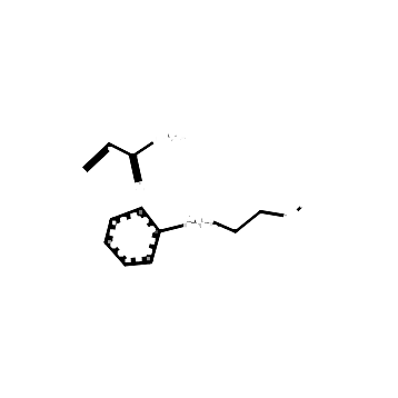 C=CC(=O)OC.CCCCCCCCCc1ccccc1.CCOCCOC(C)=O